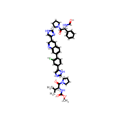 COC(=O)N[C@H](C(=O)N1CCC[C@H]1c1ncc(-c2ccc(-c3ccc4cc(-c5c[nH]c([C@@H]6CCCN6C(=O)[C@H](NC=O)c6ccccc6)n5)cnc4c3)c(F)c2)[nH]1)C(C)C